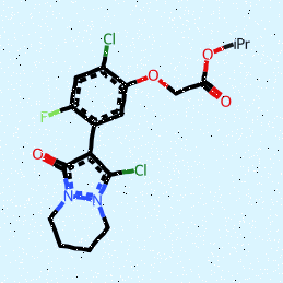 CC(C)OC(=O)COc1cc(-c2c(Cl)n3n(c2=O)CCCC3)c(F)cc1Cl